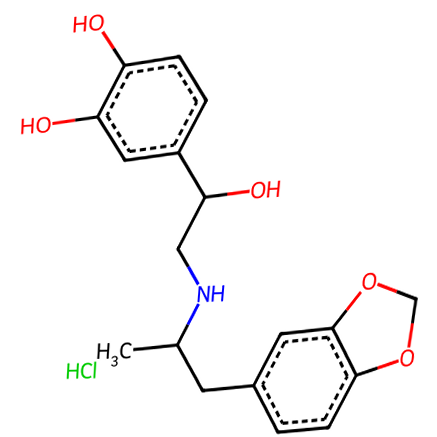 CC(Cc1ccc2c(c1)OCO2)NCC(O)c1ccc(O)c(O)c1.Cl